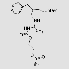 CCCCCCCCCCCCC(CNC(C)NC(=O)OCCOC(=O)C(C)C)Cc1ccccc1